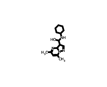 CC1=CC(C)=NC2C(C(O)NC3CCCCC3)C=NN12